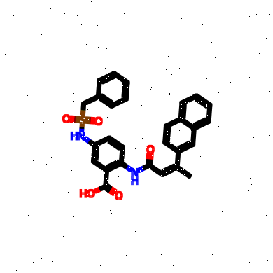 C/C(=C/C(=O)Nc1ccc(NS(=O)(=O)Cc2ccccc2)cc1C(=O)O)c1ccc2ccccc2c1